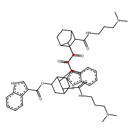 CN(C)CCCNC(=O)C1C2CCC(C(OC(=O)c3c[nH]c4ccccc34)C2)C1C(=O)NC(=O)C1C2CCC(CC2OC(=O)c2c[nH]c3ccccc23)C1C(=O)NCCCN(C)C